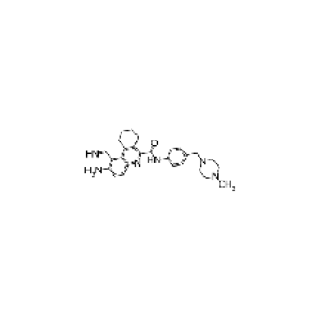 CN1CCN(Cc2ccc(NC(=O)c3nc4ccc(N)c(C=N)c4c4c3CCCC4)cc2)CC1